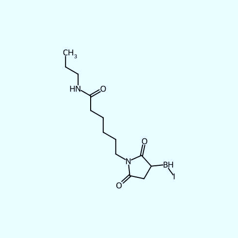 CCCNC(=O)CCCCCN1C(=O)CC(BI)C1=O